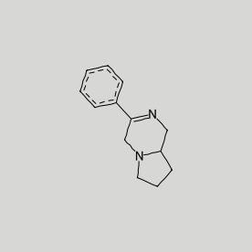 c1ccc(C2=NCC3CCCN3C2)cc1